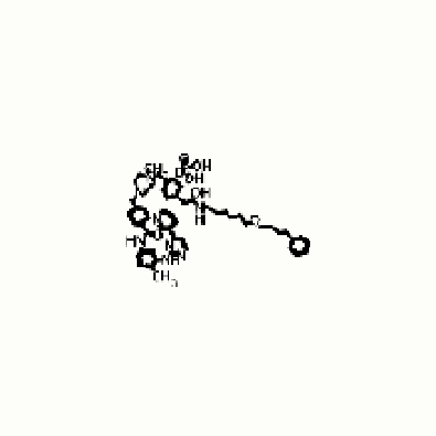 Cc1ccc(NC(=O)c2ccc(CN3CC[N+](C)(Cc4ccc(CC(O)NCCCCCCOCCCCc5ccccc5)cc4OP(=O)(O)O)CC3)cc2)cc1Nc1nccc(-c2cccnc2)n1